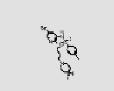 Cc1ccc(S(=O)(=O)Nc2cc(Br)cnc2OCCCN2CCC(F)(F)CC2)cc1